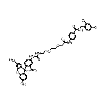 O=C(COCCOCCNC(=S)Nc1ccc2c(c1)C(=O)OC21c2ccc(O)cc2Oc2cc(O)ccc21)Nc1ccc(C(=O)NCc2ccc(Cl)cc2Cl)cc1